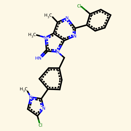 Cc1nc(-c2ccccc2Cl)nc2c1n(C)c(=N)n2Cc1ccc(-c2nc(Cl)cn2C)cc1